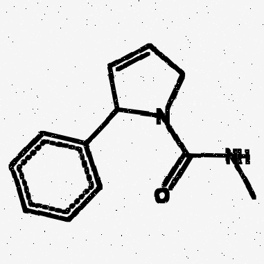 CNC(=O)N1CC=CC1c1ccccc1